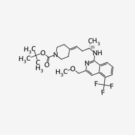 COCc1cc2c(C(F)(F)F)cccc2c(N[C@@H](C)CC=C2CCN(C(=O)OC(C)(C)C)CC2)n1